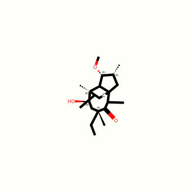 CC[C@]1(C)C[C@@H](O)[C@]2(C)C(C)CCC3(C[C@@H](C)[C@@H](OC)C32)C(C)C1=O